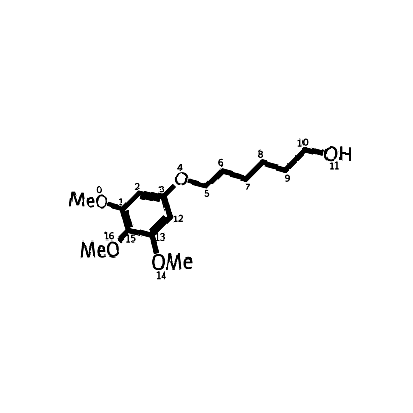 COc1cc(OCCCCCCO)cc(OC)c1OC